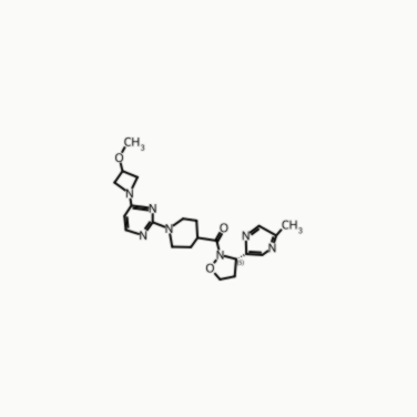 COC1CN(c2ccnc(N3CCC(C(=O)N4OCC[C@H]4c4cnc(C)cn4)CC3)n2)C1